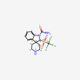 NC(=O)N1c2ccccc2C2(CCNCC2)C1S(=O)(=O)C(F)(F)F